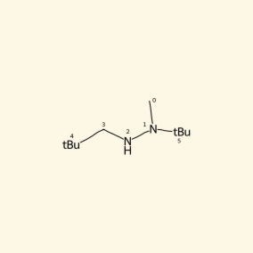 CN(NCC(C)(C)C)C(C)(C)C